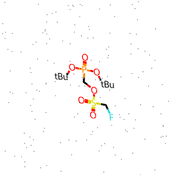 CC(C)(C)OP(=O)(COS(=O)(=O)CF)OC(C)(C)C